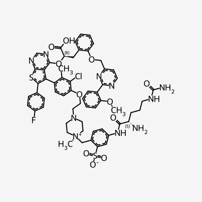 COc1ccccc1-c1nccc(COc2ccccc2C[C@@H](Oc2ncnc3sc(-c4ccc(F)cc4)c(-c4ccc(OCCN5CC[N+](C)(Cc6ccc(NC(=O)[C@@H](N)CCCNC(N)=O)cc6S(=O)(=O)[O-])CC5)c(Cl)c4C)c23)C(=O)O)n1